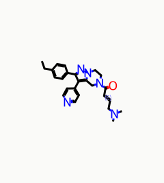 CCc1ccc(-c2nn3c(c2-c2ccncc2)CN(C(=O)/C=C/CN(C)C)CC3)cc1